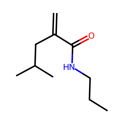 C=C(CC(C)C)C(=O)NCCC